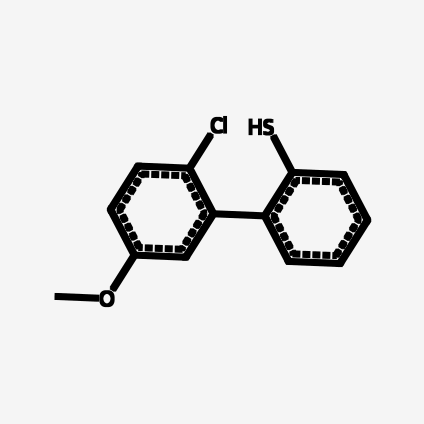 COc1ccc(Cl)c(-c2ccccc2S)c1